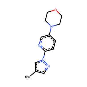 CC(C)(C)c1cnn(-c2ccc(N3CCOCC3)cn2)c1